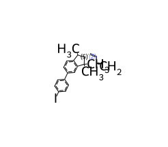 C=C/C=C\[C@H]1C(C)c2ccc(-c3ccc(I)cc3)cc2C1(C)C